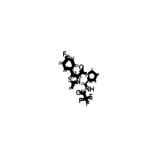 Cc1nc(C(=O)N2CCC[C@H]2CNC(=O)C(F)(F)F)c(-c2ccc(F)cc2)s1